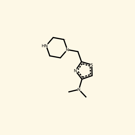 CN(C)c1csc(CN2[CH]CNCC2)n1